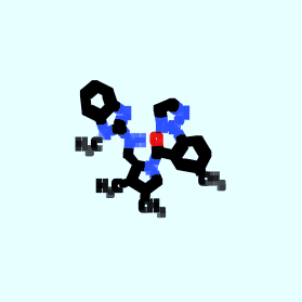 Cc1ccc(-n2nccn2)c(C(=O)N2CC(C)[C@@H](C)[C@H]2CNc2nc3ccccc3n2C)c1